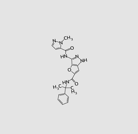 Cn1nccc1C(=O)Nc1n[nH]c2cc(C(=O)NC(C)(C)c3ccccc3)oc12